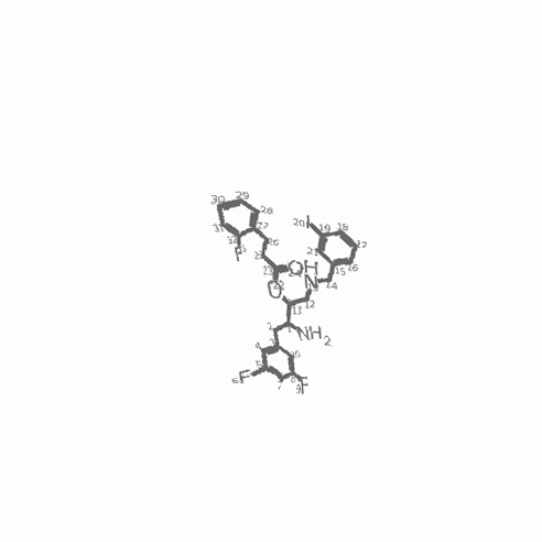 NC(Cc1cc(F)cc(F)c1)C(CNCc1cccc(I)c1)OC(=O)CCc1ccccc1F